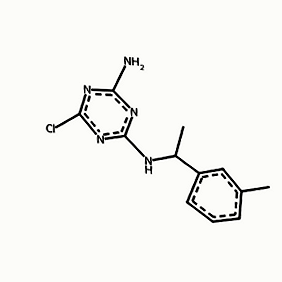 Cc1cccc(C(C)Nc2nc(N)nc(Cl)n2)c1